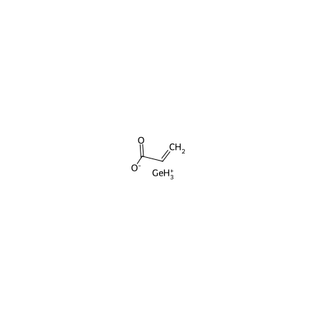 C=CC(=O)[O-].[GeH3+]